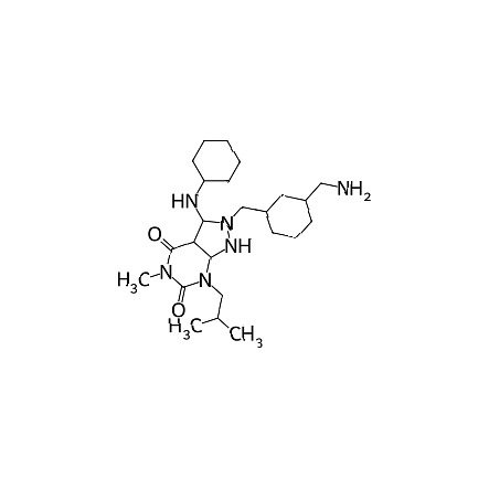 CC(C)CN1C(=O)N(C)C(=O)C2C(NC3CCCCC3)N(CC3CCCC(CN)C3)NC21